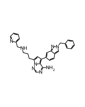 Nc1ncnn2c(CCCNCc3ccccn3)cc(-c3ccc4cn(Cc5ccccc5)nc4c3)c12